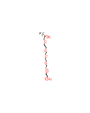 CC(O)COCCOCCOCCOCCOCCO